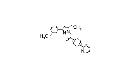 CCc1cccc(-c2cc(CC)n(CC(=O)N3CCN(c4ncccn4)CC3)n2)c1